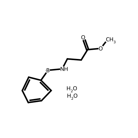 COC(=O)CCN[B]c1ccccc1.O.O